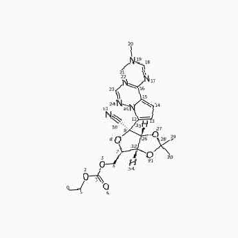 CCOC(=O)OC[C@H]1O[C@@](C#N)(c2ccc3c(/N=C\N(C)C)ncnn23)[C@@H]2OC(C)(C)O[C@@H]21